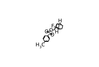 Cc1ccc(S(=O)(=O)OC[C@@]2(F)C[C@@H]3CC[C@H]2O3)cc1